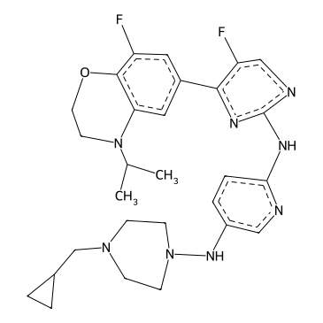 CC(C)N1CCOc2c(F)cc(-c3nc(Nc4ccc(NN5CCN(CC6CC6)CC5)cn4)ncc3F)cc21